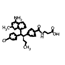 CCC[C@H](c1ccc(C(=O)NCCC(=O)O)cc1)C(c1ccc(Cl)cc1)c1cccc2c(N)cc(C)cc12